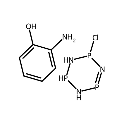 Clp1np[nH][pH][nH]1.Nc1ccccc1O